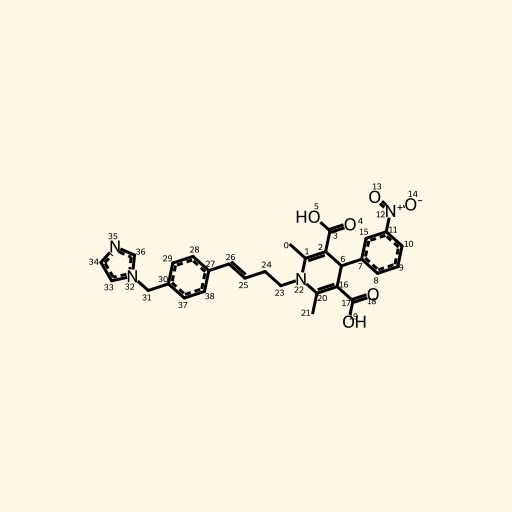 CC1=C(C(=O)O)C(c2cccc([N+](=O)[O-])c2)C(C(=O)O)=C(C)N1CCC=Cc1ccc(Cn2ccnc2)cc1